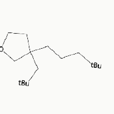 CC(C)(C)CCCC1(CC(C)(C)C)CCOC1